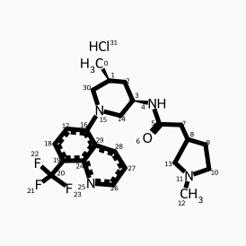 C[C@H]1C[C@@H](NC(=O)CC2CCN(C)C2)CN(c2ccc(C(F)(F)F)c3ncccc23)C1.Cl